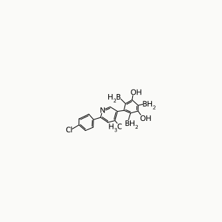 Bc1c(O)c(B)c(-c2cnc(-c3ccc(Cl)cc3)cc2C)c(B)c1O